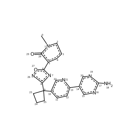 Cn1cccc(-c2nc(C3(c4ccc(-c5cnc(N)nc5)nc4)CCC3)no2)c1=O